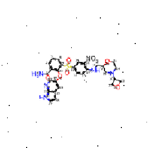 NC(=O)c1cccc(S(=O)(=O)c2ccc(NCC3CN(C4COC4)CCO3)c([N+](=O)[O-])c2)c1Oc1cnc2[nH]ccc2c1